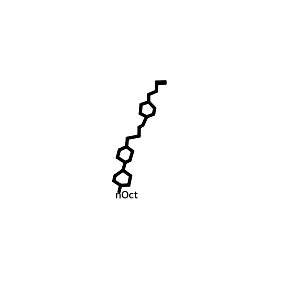 C=CCCC1CCC(CCCCC2CCC(C3CCC(CCCCCCCC)CC3)CC2)CC1